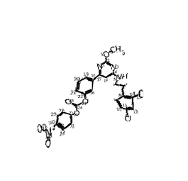 COc1nc(NCCc2ccc(Cl)cc2Cl)cc(-c2cccc(OC(=O)Oc3ccc([N+](=O)[O-])cc3)c2)n1